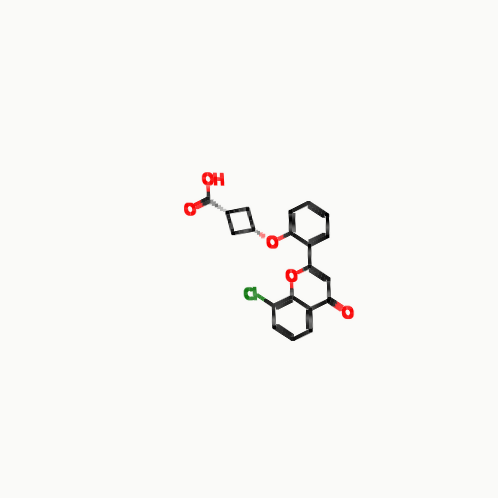 O=c1cc(-c2ccccc2O[C@H]2C[C@@H](C(=O)O)C2)oc2c(Cl)cccc12